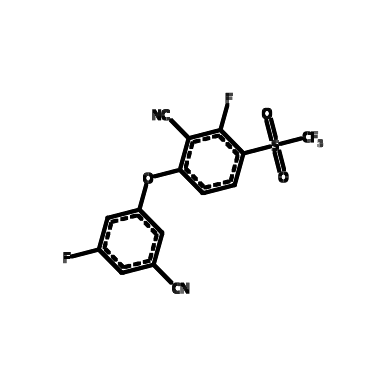 N#Cc1cc(F)cc(Oc2ccc(S(=O)(=O)C(F)(F)F)c(F)c2C#N)c1